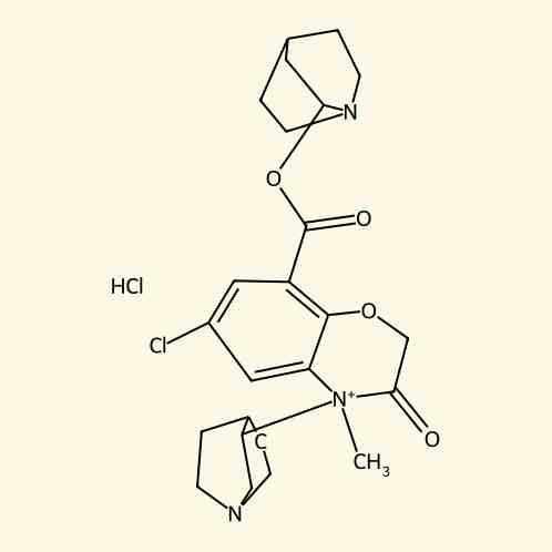 C[N+]1(C2CN3CCC2CC3)C(=O)COc2c(C(=O)OC3CC4CCN3CC4)cc(Cl)cc21.Cl